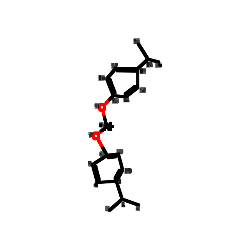 CC(C)c1ccc([O][Al][O]c2ccc(C(C)C)cc2)cc1